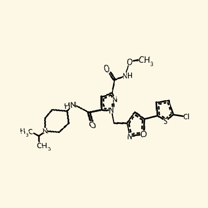 CONC(=O)c1cc(C(=O)NC2CCN(C(C)C)CC2)n(Cc2cc(-c3ccc(Cl)s3)on2)n1